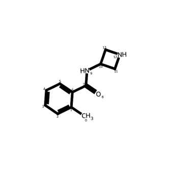 Cc1ccccc1C(=O)NC1CNC1